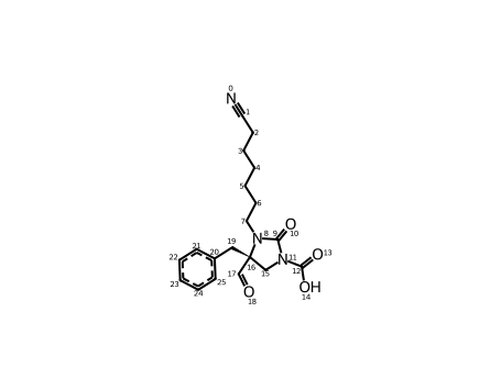 N#CCCCCCCN1C(=O)N(C(=O)O)C[C@@]1(C=O)Cc1ccccc1